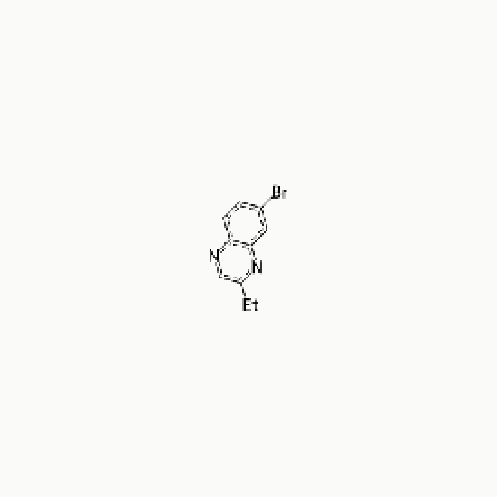 CCc1cnc2ccc(Br)cc2n1